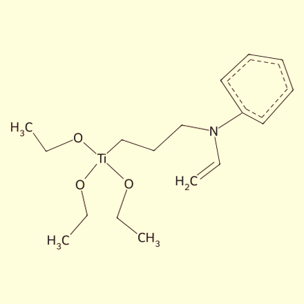 C=CN(CC[CH2][Ti]([O]CC)([O]CC)[O]CC)c1ccccc1